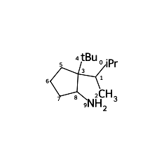 CC(C)C(C)C1(C(C)(C)C)CCCC1N